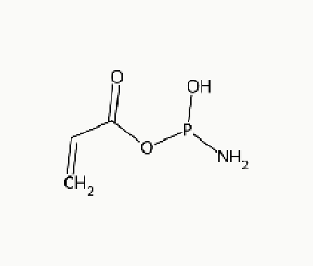 C=CC(=O)OP(N)O